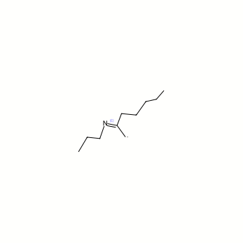 [CH2]/C(CCCCC)=N\CCC